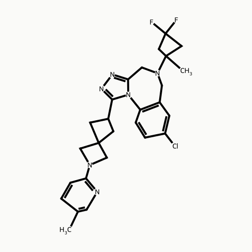 Cc1ccc(N2CC3(CC(c4nnc5n4-c4ccc(Cl)cc4CN(C4(C)CC(F)(F)C4)C5)C3)C2)nc1